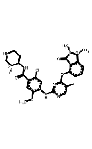 COc1cc(C(=O)NC2CCNC[C@H]2F)c(Cl)cc1Nc1ncc(Cl)c(Oc2cccc3c2C(=O)N(C)[C@H]3C)n1